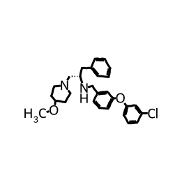 COC1CCN(C[C@H](Cc2ccccc2)NCc2cccc(Oc3cccc(Cl)c3)c2)CC1